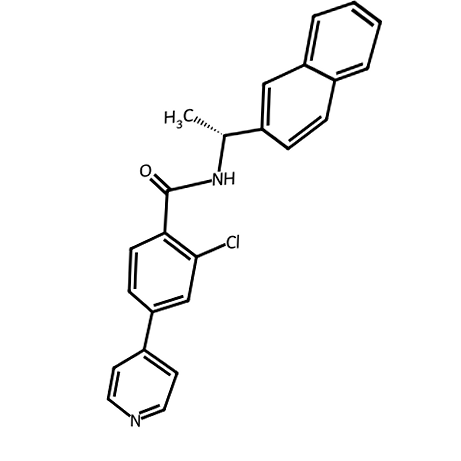 C[C@@H](NC(=O)c1ccc(-c2ccncc2)cc1Cl)c1ccc2ccccc2c1